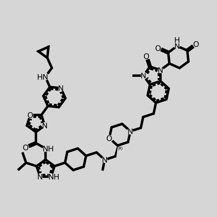 CC(C)c1n[nH]c(C2CCC(CN(C)C[C@@H]3CN(CCCc4ccc5c(c4)n(C)c(=O)n5C4CCC(=O)NC4=O)CCO3)CC2)c1NC(=O)c1coc(-c2ccnc(NCC3CC3)c2)n1